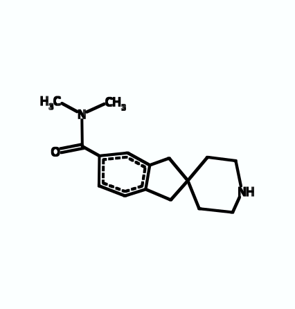 CN(C)C(=O)c1ccc2c(c1)CC1(CCNCC1)C2